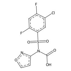 O=C(O)N(c1ccon1)S(=O)(=O)c1cc(Cl)c(F)cc1F